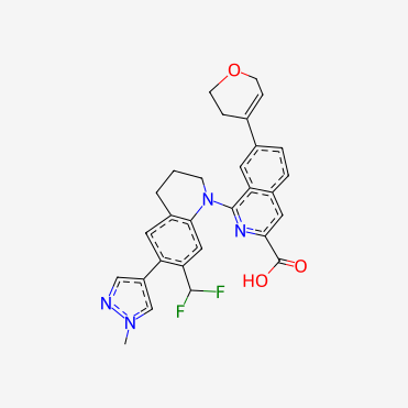 Cn1cc(-c2cc3c(cc2C(F)F)N(c2nc(C(=O)O)cc4ccc(C5=CCOCC5)cc24)CCC3)cn1